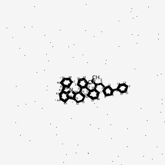 CCC(Cc1cccc(-c2ccccc2)c1)c1ccccc1-c1c(C)cccc1C1=CCCc2c1n1c3ccccc3c3cccc2c31